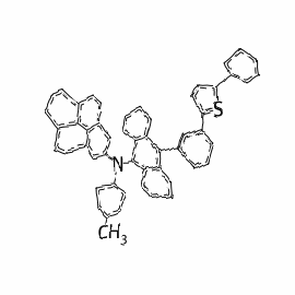 Cc1ccc(N(c2cc3ccc4cccc5ccc(c2)c3c45)c2c3ccccc3c(-c3cccc(-c4ccc(-c5ccccc5)s4)c3)c3ccccc23)cc1